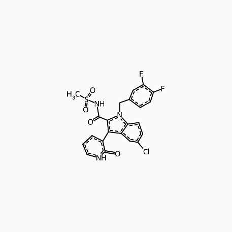 CS(=O)(=O)NC(=O)c1c(-c2ccc[nH]c2=O)c2cc(Cl)ccc2n1Cc1ccc(F)c(F)c1